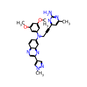 COc1cc(OC)cc(N(CC#Cc2cc(C)nc(N)n2)c2ccc3ncc(-c4cnn(C)c4)nc3c2)c1